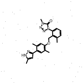 Cc1cc(-c2cc(C)c(OCc3c(C)cccc3-n3nnn(C)c3=O)cc2C)n[nH]1